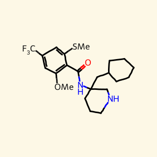 COc1cc(C(F)(F)F)cc(SC)c1C(=O)NC1(CC2CCCCC2)CCCNC1